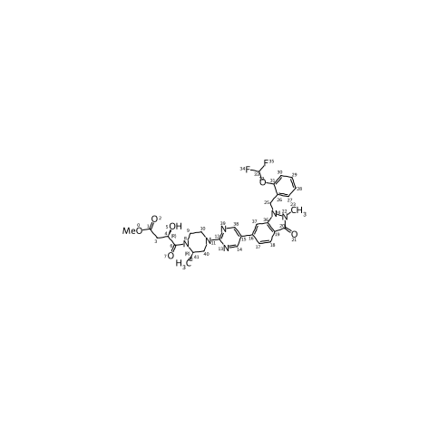 COC(=O)C[C@@H](O)C(=O)N1CCN(c2ncc(-c3ccc4c(=O)n(C)n(Cc5ccccc5OC(F)F)c4c3)cn2)C[C@H]1C